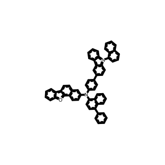 c1ccc(-c2ccc(N(c3ccc(-c4ccc5c(c4)c4ccccc4n5-c4cccc5ccccc45)cc3)c3ccc4c(ccc5c6ccccc6oc45)c3)c3ccccc23)cc1